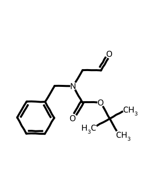 CC(C)(C)OC(=O)N(CC=O)Cc1ccccc1